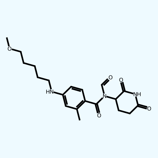 COCCCCCNc1ccc(C(=O)N(C=O)C2CCC(=O)NC2=O)c(C)c1